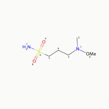 CON(C)CCCS(N)(=O)=O